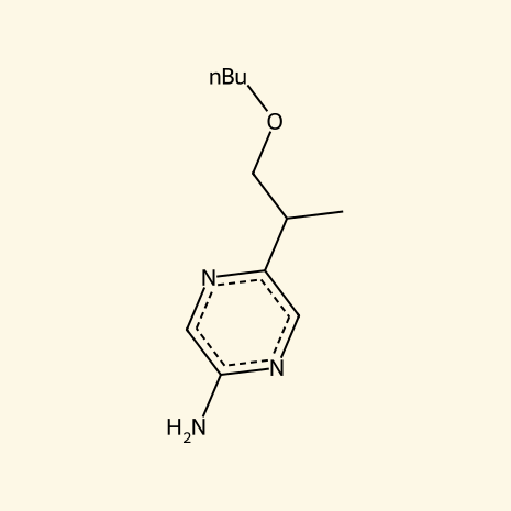 CCCCOCC(C)c1cnc(N)cn1